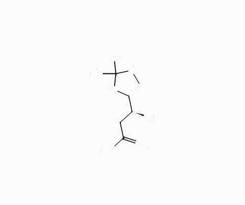 C=C(C)C[C@H](O)[C@H]1COC(C)(C)O1